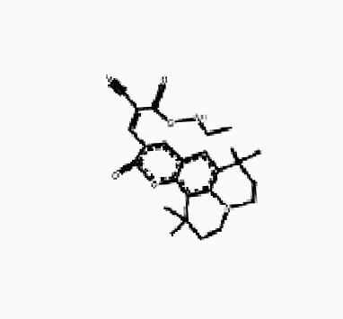 CCNOC(=O)/C(C#N)=C\c1cc2cc3c4c(c2oc1=O)C(C)(C)CCN4CCC3(C)C